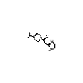 CC(C)N1CCN(C(=O)Cc2nccn2C)CC1